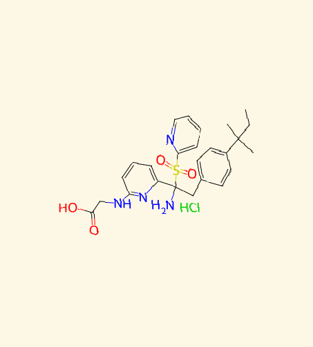 CCC(C)(C)c1ccc(CC(N)(c2cccc(NCC(=O)O)n2)S(=O)(=O)c2ccccn2)cc1.Cl